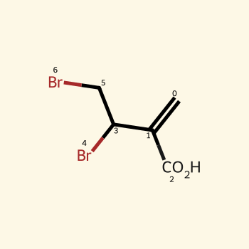 C=C(C(=O)O)C(Br)CBr